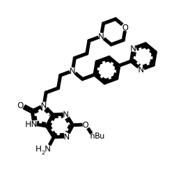 CCCCOc1nc(N)c2[nH]c(=O)n(CCCN(CCCN3CCOCC3)Cc3ccc(-c4ncccn4)cc3)c2n1